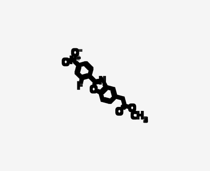 COC(=O)Cc1ccc2oc(-c3ccc([N+](=O)[O-])cc3F)nc2c1